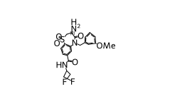 COc1cccc(CN2C(=O)[C@@H](N)CS(=O)(=O)c3ccc(C(=O)NC4CC(F)(F)C4)cc32)c1